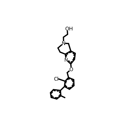 Cc1ccccc1-c1cccc(COc2ccc3c(n2)CCN(CCO)C3)c1Cl